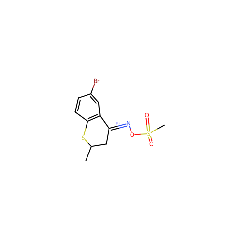 CC1C/C(=N\OS(C)(=O)=O)c2cc(Br)ccc2S1